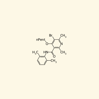 CCCCCOc1c(Br)c(C)nc(C)c1C(=O)Nc1c(C)cccc1C